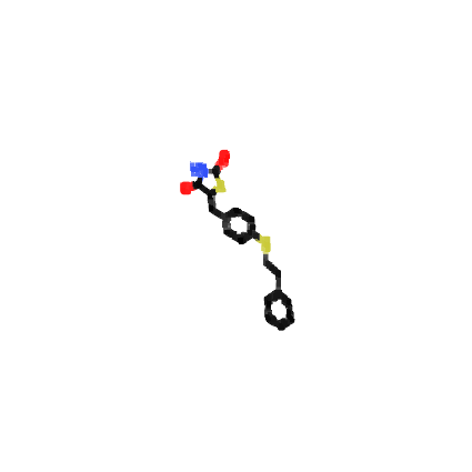 O=C1NC(=O)C(=Cc2ccc(SCCc3ccccc3)cc2)S1